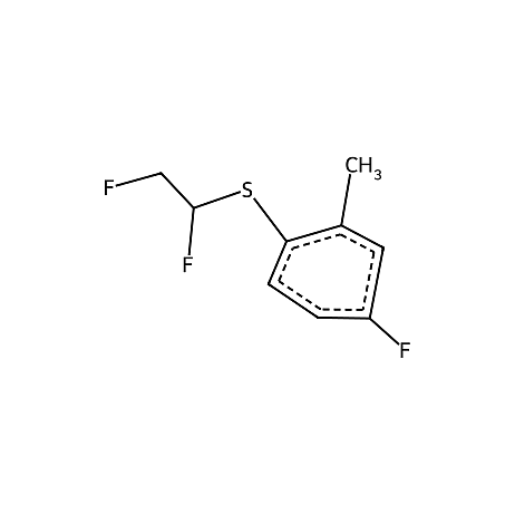 Cc1cc(F)ccc1SC(F)CF